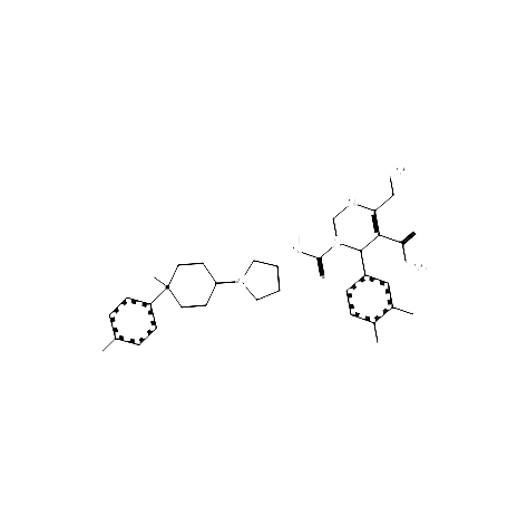 COCC1=C(C(=O)OC)C(c2ccc(F)c(F)c2)N(C(=O)N[C@@H]2CCN(C3CCC(O)(c4ccc(F)cc4)CC3)C2)CN1